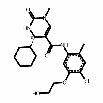 Cc1cc(Cl)c(OCCO)cc1NC(=O)C1=CN(C)C(=O)N[C@H]1C1CCCCC1